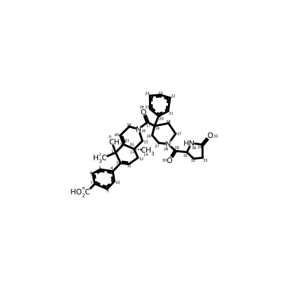 CC1(C)C(c2ccc(C(=O)O)cc2)=CC[C@]2(C)CN(C(=O)C3(c4ccccc4)CCN(C(=O)C4CCC(=O)N4)CC3)CC=C12